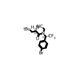 CC(C)(C)C[C@H](N)C(=O)N(CC#N)[C@@H](c1ccc(Br)cc1)C(F)(F)F